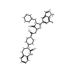 Cc1cc(C2SC(CC(=O)N3CCC(N4CCc5ccccc5NC4=O)CC3)C(=O)N2CC2CCCCC2)cc2cn[nH]c12